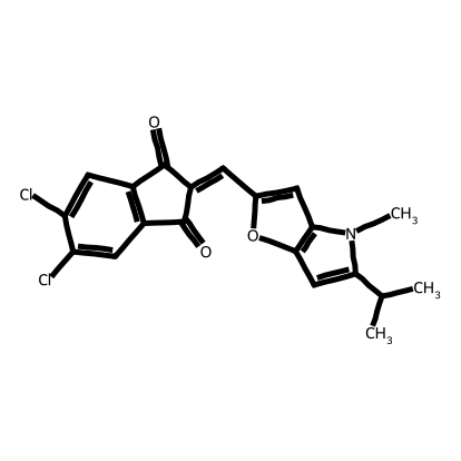 CC(C)c1cc2oc(C=C3C(=O)c4cc(Cl)c(Cl)cc4C3=O)cc2n1C